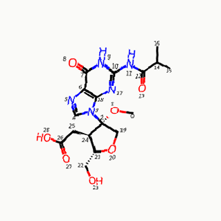 CO[C@]1(n2cnc3c(=O)[nH]c(NC(=O)C(C)C)nc32)CO[C@H](CO)[C@H]1CC(=O)O